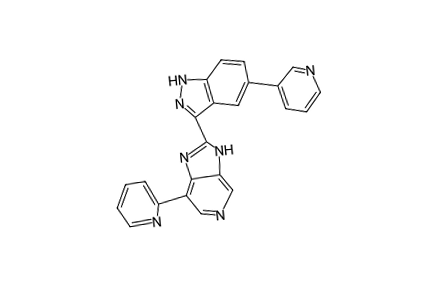 c1ccc(-c2cncc3[nH]c(-c4n[nH]c5ccc(-c6cccnc6)cc45)nc23)nc1